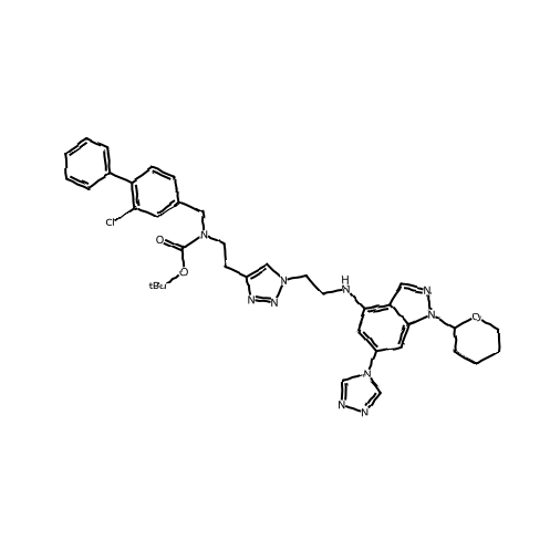 CC(C)(C)OC(=O)N(CCc1cn(CCNc2cc(-n3cnnc3)cc3c2cnn3C2CCCCO2)nn1)Cc1ccc(-c2ccccc2)c(Cl)c1